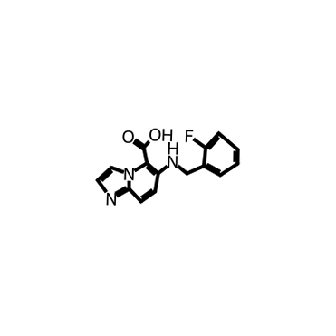 O=C(O)c1c(NCc2ccccc2F)ccc2nccn12